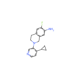 Nc1cc2c(cc1F)CCN(c1cnccc1C1CC1)C2